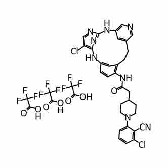 N#Cc1c(Cl)cccc1N1CCC(CC(=O)Nc2ccc3cc2CCc2cncc(c2)Nc2ncc(Cl)c(n2)N3)CC1.O=C(O)C(F)(F)F.O=C(O)C(F)(F)F.O=C(O)C(F)(F)F